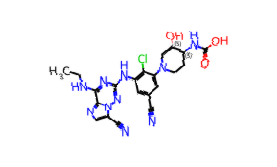 CCNc1nc(Nc2cc(C#N)cc(N3CC[C@H](NC(=O)O)[C@@H](O)C3)c2Cl)nn2c(C#N)cnc12